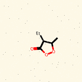 CCC1C(=O)OOC1C